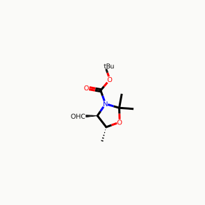 C[C@H]1OC(C)(C)N(C(=O)OC(C)(C)C)[C@@H]1C=O